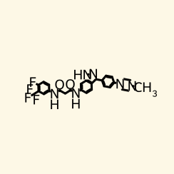 CN1CCN(c2ccc(-c3n[nH]c4cc(NC(=O)CC(=O)Nc5ccc(F)c(C(F)(F)F)c5)ccc34)cc2)CC1